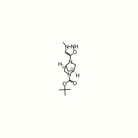 CN1C=C(N2C[C@@H]3C[C@H]2CN3C(=O)OC(C)(C)C)ON1